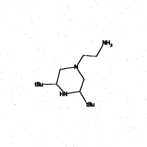 CC(C)(C)C1CN(CCN)CC(C(C)(C)C)N1